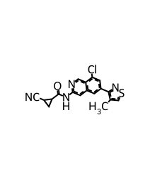 Cc1csnc1-c1cc(Cl)c2cnc(NC(=O)C3CC3C#N)cc2c1